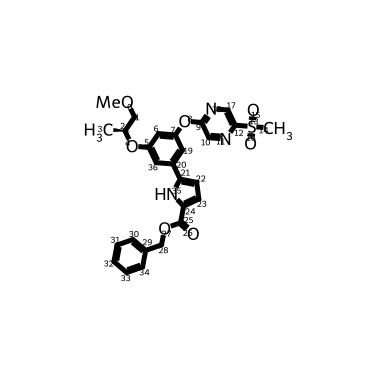 COC[C@H](C)Oc1cc(Oc2cnc(S(C)(=O)=O)cn2)cc(-c2ccc(C(=O)OCc3ccccc3)[nH]2)c1